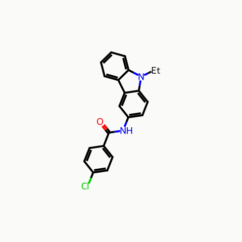 CCn1c2ccccc2c2cc(NC(=O)c3ccc(Cl)cc3)ccc21